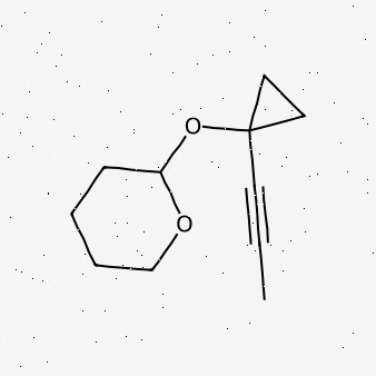 CC#CC1(OC2CCCCO2)CC1